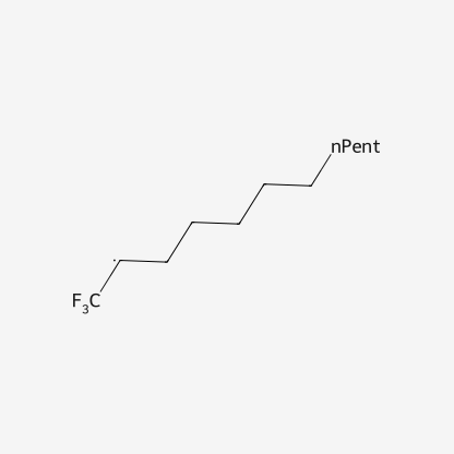 CCCCCCCCCC[CH]C(F)(F)F